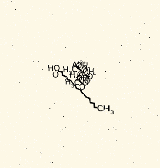 CC(O)C(=O)[O-].CC(O)C(=O)[O-].CC(O)C(=O)[O-].CCCCCCCCCCCCCCCCCC(=O)O.[Al+3]